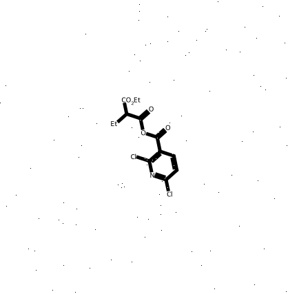 CCOC(=O)C(CC)C(=O)OC(=O)c1ccc(Cl)nc1Cl